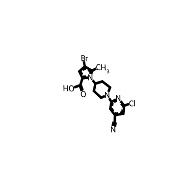 Cc1c(Br)cc(C(=O)O)n1C1CCN(c2cc(C#N)cc(Cl)n2)CC1